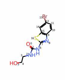 O=C(NCCO)Nc1nc2ccc(Br)cc2s1